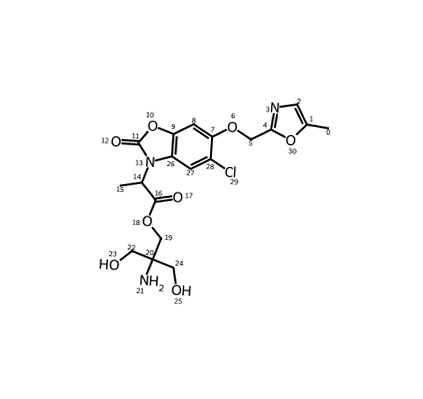 Cc1cnc(COc2cc3oc(=O)n(C(C)C(=O)OCC(N)(CO)CO)c3cc2Cl)o1